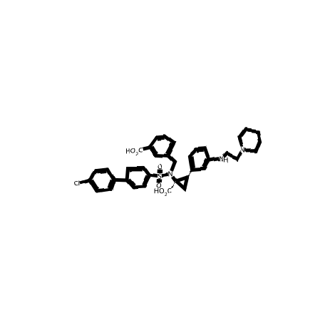 O=C(O)c1cccc(CN([C@]2(C(=O)O)C[C@H]2c2cccc(NCCN3CCCCC3)c2)S(=O)(=O)c2ccc(-c3ccc(Cl)cc3)cc2)c1